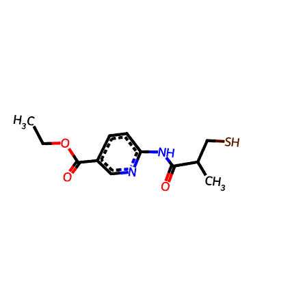 CCOC(=O)c1ccc(NC(=O)C(C)CS)nc1